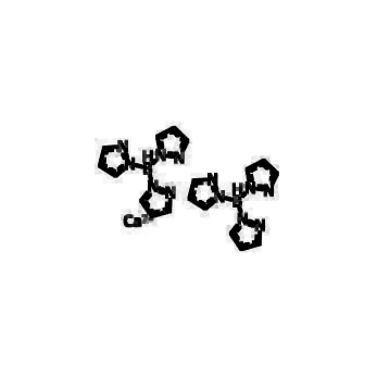 [Ca+2].c1cnn([BH-](n2cccn2)n2cccn2)c1.c1cnn([BH-](n2cccn2)n2cccn2)c1